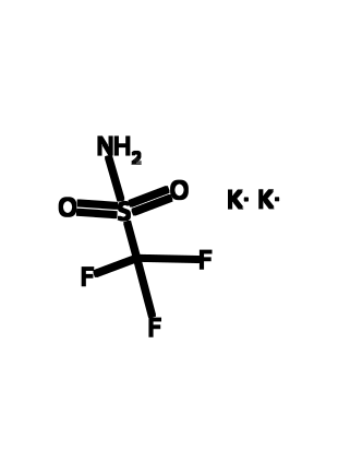 NS(=O)(=O)C(F)(F)F.[K].[K]